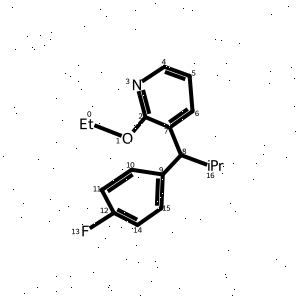 CCOc1ncccc1C(c1ccc(F)cc1)C(C)C